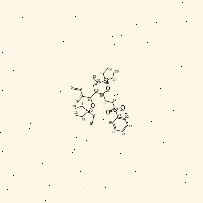 C=CC(C)C(O[Si](CC)(CC)CC)C(C)C(CCS(=O)(=O)c1ccccc1)O[Si](CC)(CC)CC